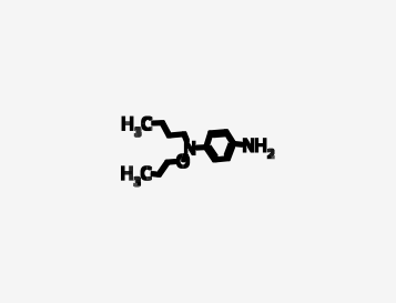 CCCCN(OCCC)c1ccc(N)cc1